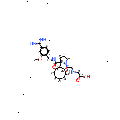 COc1cc(C(=N)N)ccc1CNC(=O)[C@]1(C2CCCCCCC2)CCCN1C(=O)CNCC(=O)O